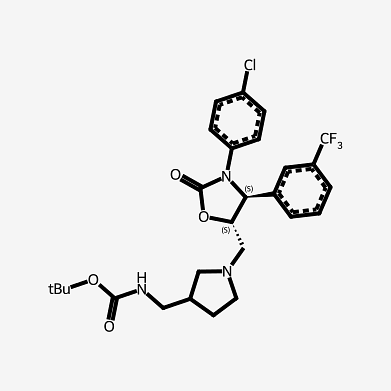 CC(C)(C)OC(=O)NCC1CCN(C[C@@H]2OC(=O)N(c3ccc(Cl)cc3)[C@H]2c2cccc(C(F)(F)F)c2)C1